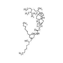 CCCCCCC(O)CN(CCNC(=O)O[C@H]1CC[C@@]2(C)C(=CC[C@H]3[C@@H]4CC[C@H]([C@H](C)CC[C@@H](CC)C(C)C)[C@@]4(C)CC[C@@H]32)C1)CC(O)CCCCCC